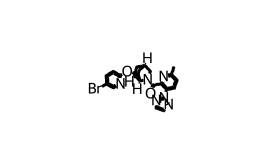 Cc1ccc(-n2nccn2)c(C(=O)N2C[C@@H]3CC[C@H]2[C@H](Oc2ccc(Br)cn2)C3)n1